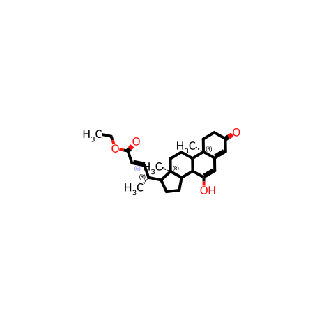 CCOC(=O)/C=C/[C@@H](C)C1CCC2C3C(O)=CC4=CC(=O)CC[C@]4(C)C3CC[C@@]21C